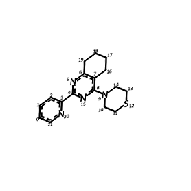 c1ccc(-c2nc3c(c(N4CCSCC4)n2)CCCC3)nc1